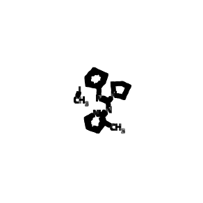 CI.Cc1ccc[nH]c1=NC(=Nc1ccccc1)N1CCCC1